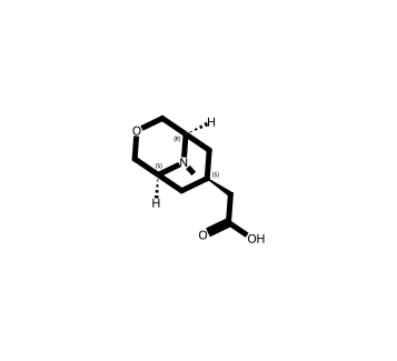 CN1[C@@H]2COC[C@H]1C[C@@H](CC(=O)O)C2